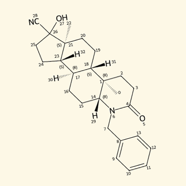 C[C@]12CCC(=O)N(Cc3ccccc3)[C@@H]1CC[C@@H]1[C@@H]2CC[C@@]2(C)[C@H]1CCC2(O)C#N